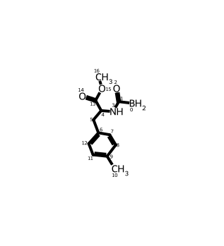 BC(=O)NC(Cc1ccc(C)cc1)C(=O)OC